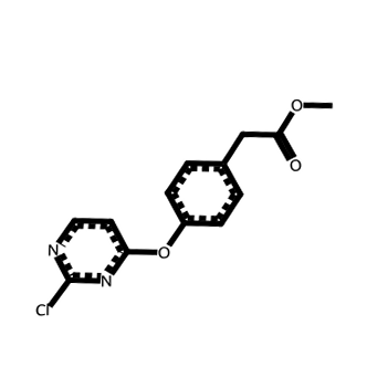 COC(=O)Cc1ccc(Oc2ccnc(Cl)n2)cc1